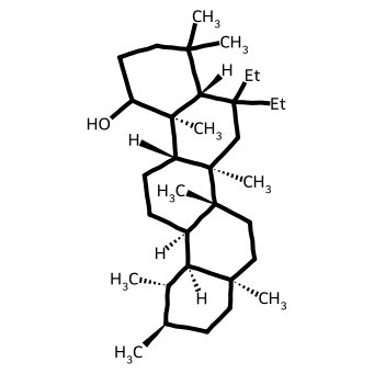 CCC1(CC)C[C@]2(C)[C@H](CC[C@@H]3[C@@H]4[C@@H](C)[C@H](C)CC[C@]4(C)CC[C@]32C)[C@@]2(C)C(O)CCC(C)(C)[C@H]12